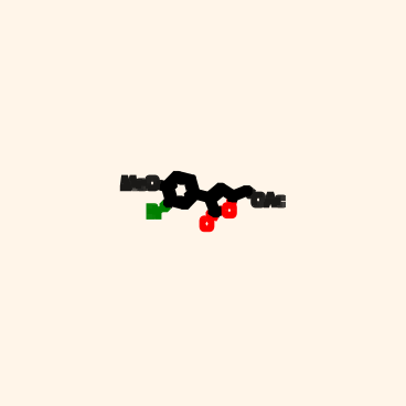 COc1ccc(C2=CC(COC(C)=O)OC2=O)cc1Br